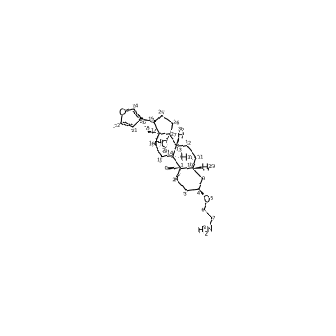 C[C@]12CC[C@H](OCCN)C[C@H]1CC[C@@H]1[C@@H]2CC[C@]2(C)[C@@H](c3ccoc3)CC[C@]12O